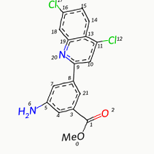 COC(=O)c1cc(N)cc(-c2cc(Cl)c3ccc(Cl)cc3n2)c1